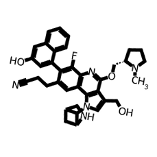 CN1CCC[C@H]1COc1nc2c(F)c(-c3cc(O)cc4ccccc34)c(CCC#N)cc2c2c1c(CO)cn2C1C2CNC1C2